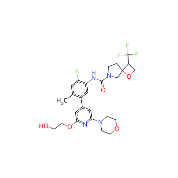 Cc1cc(F)c(NC(=O)N2CCC3(C2)OCC3C(F)(F)F)cc1-c1cc(OCCO)nc(N2CCOCC2)c1